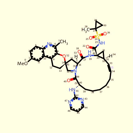 COc1ccc2nc(C)c3c(c2c1)CC[C@]1(C[C@H]2C(=O)N[C@]4(C(=O)NS(=O)(=O)C5(C)CC5)C[C@H]4/C=C\CCCCC[C@H](Nc4ncccn4)C(=O)N2C1)O3